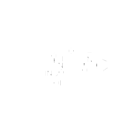 O=C(O)NC(CC1CCCCC1)C(=O)NC(CO)CCC(=O)Nc1ccccc1